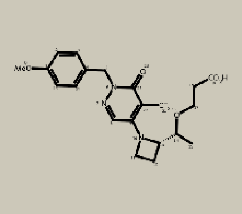 COc1ccc(Cn2ncc(N3CC[C@H]3C(C)OCCC(=O)O)c(C(F)(F)F)c2=O)cc1